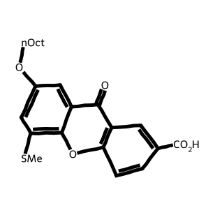 CCCCCCCCOc1cc(SC)c2oc3ccc(C(=O)O)cc3c(=O)c2c1